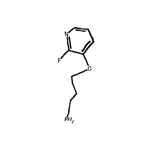 Fc1ncccc1OCCCP